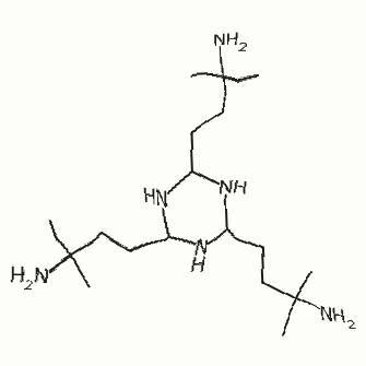 CC(C)(N)CCC1NC(CCC(C)(C)N)NC(CCC(C)(C)N)N1